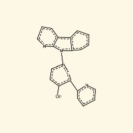 Oc1ccc(-n2c3ccccc3c3cccnc32)cc1-c1ccccn1